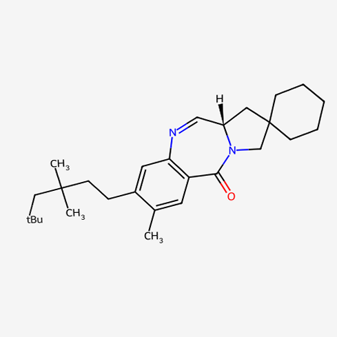 Cc1cc2c(cc1CCC(C)(C)CC(C)(C)C)N=C[C@@H]1CC3(CCCCC3)CN1C2=O